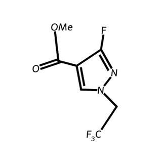 COC(=O)c1cn(CC(F)(F)F)nc1F